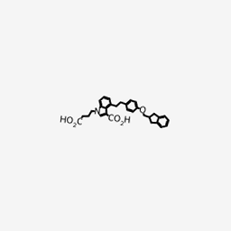 O=C(O)CCCn1cc(C(=O)O)c2c(CCc3ccc(OCC4Cc5ccccc5C4)cc3)cccc21